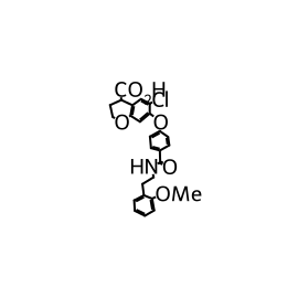 COc1ccccc1CCNC(=O)c1ccc(Oc2cc3c(cc2Cl)C(C(=O)O)CCO3)cc1